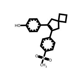 CS(=O)(=O)c1ccc(C2=C(c3ccc(O)cc3)CC3(CCC3)C2)cc1